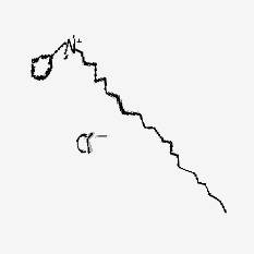 CCCCCCCCC=CCCCCCCCCCCCC[N+](C)(C)Cc1ccccc1.[Cl-]